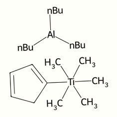 CCC[CH2][Al]([CH2]CCC)[CH2]CCC.[CH3][Ti]([CH3])([CH3])([CH3])([CH3])[C]1=CC=CC1